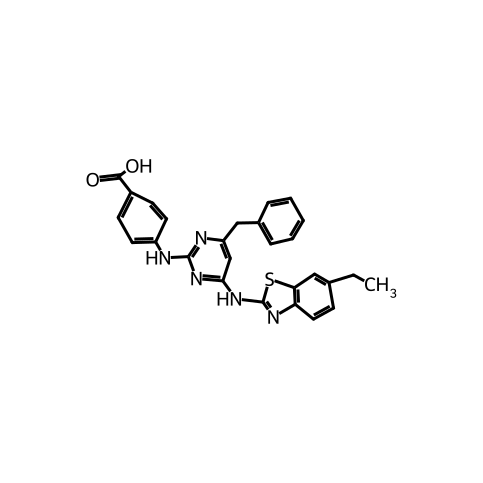 CCc1ccc2nc(Nc3cc(Cc4ccccc4)nc(Nc4ccc(C(=O)O)cc4)n3)sc2c1